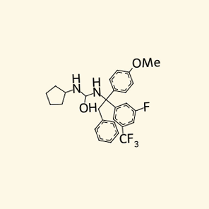 COc1ccc(C(Cc2ccccc2)(NC(O)NC2CCCC2)c2cc(F)cc(C(F)(F)F)c2)cc1